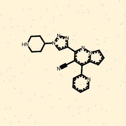 N#Cc1c(-c2cn(C3CCNCC3)nn2)nn2cccc2c1-c1ccccn1